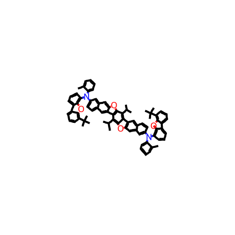 Cc1ccccc1N(c1ccc2cc3c(cc2c1)oc1c(C(C)C)c2c(oc4cc5cc(N(c6ccccc6C)c6cccc7c6oc6c(C(C)(C)C)cccc67)ccc5cc42)c(C(C)C)c13)c1cccc2c1oc1c(C(C)(C)C)cccc12